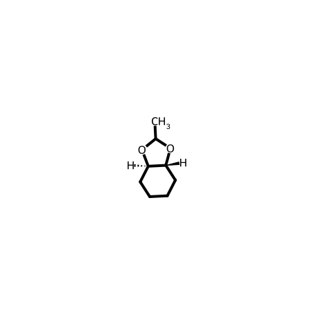 CC1O[C@@H]2CCCC[C@H]2O1